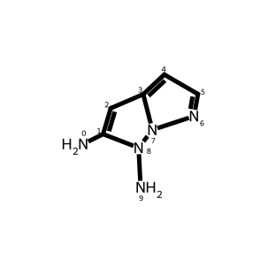 Nc1cc2ccnn2n1N